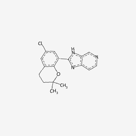 CC1(C)CCc2cc(Cl)cc(-c3nc4ccncc4[nH]3)c2O1